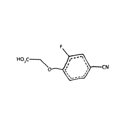 N#Cc1ccc(OCC(=O)O)c(F)c1